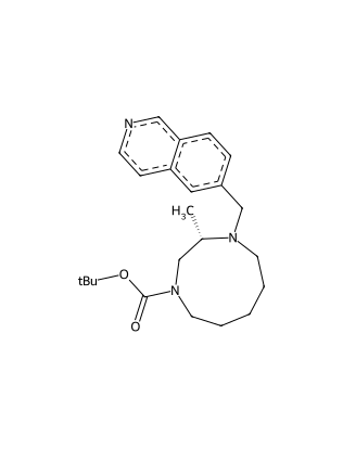 C[C@H]1CN(C(=O)OC(C)(C)C)CCCCCN1Cc1ccc2cnccc2c1